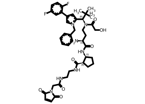 CC(C)(C)[C@H](c1cc(-c2cc(F)ccc2F)cn1Cc1ccccc1)N(CC[C@H](N)C(=O)N[C@H]1CCC[C@H]1C(=O)NCCNC(=O)CN1C(=O)C=CC1=O)C(=O)CO